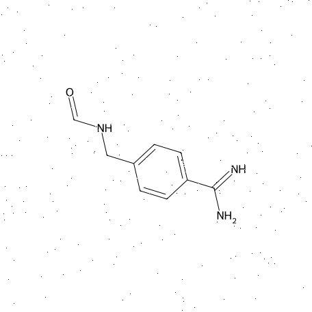 N=C(N)c1ccc(CNC=O)cc1